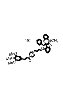 COc1cc(CCC(=O)N2CCN(CCCCOc3ccccc3C3(Cc4ccccc4)Sc4ccccc4N(C)C3=O)CC2)cc(OC)c1OC.Cl